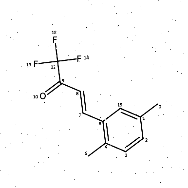 Cc1ccc(C)c(C=CC(=O)C(F)(F)F)c1